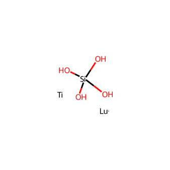 O[Si](O)(O)O.[Lu].[Ti]